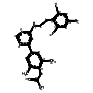 Cc1cc(-c2cc(NCCc3c(F)cc(Br)cc3F)ncn2)cc(C)c1CC(=O)O